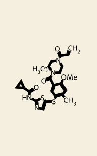 C=CC(=O)N1CCN(C(=O)c2cc(Sc3cnc(NC(=O)C4CC4)s3)c(C)cc2OC)[C@H](C)C1